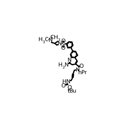 CCCN(CC#CCNC(=O)OC(C)(C)C)C(=O)C1=Cc2ccc(-c3cccc(S(=O)(=O)N4CC(CN(C)C)C4)c3)cc2N=C(N)C1